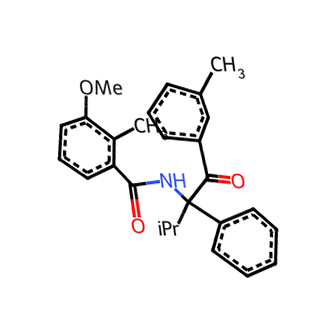 COc1cccc(C(=O)NC(C(=O)c2cccc(C)c2)(c2ccccc2)C(C)C)c1C